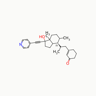 CC1CCC2(C)C(CCC2(O)C#Cc2ccncc2)[C@@H]1C(C)CC1=CC(=O)CCC1